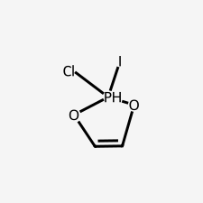 Cl[PH]1(I)OC=CO1